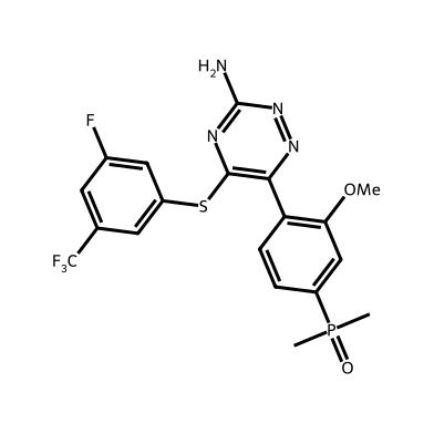 COc1cc(P(C)(C)=O)ccc1-c1nnc(N)nc1Sc1cc(F)cc(C(F)(F)F)c1